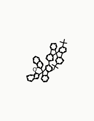 CC(C)(C)c1ccc2c(c1)C1(c3ccccc3-c3ccc(-c4ccc5c(c4)C4(c6ccccc6-5)c5ccc6ccccc6c5Oc5c4ccc4ccccc54)cc31)c1cc(C(C)(C)C)ccc1-2